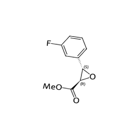 COC(=O)[C@@H]1O[C@H]1c1cccc(F)c1